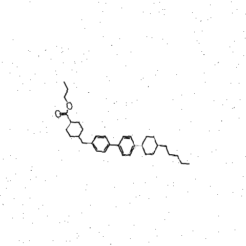 CCCCC[C@H]1CC[C@H](c2ccc(-c3ccc(CC4CCC(C(=O)OCCC)CC4)cc3)cc2)CC1